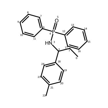 CCC(NP(=O)(c1ccccc1)c1ccccc1)c1ccc(C)cc1